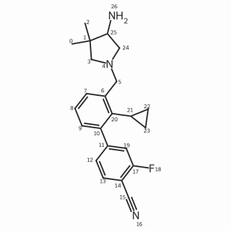 CC1(C)CN(Cc2cccc(-c3ccc(C#N)c(F)c3)c2C2CC2)CC1N